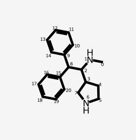 CNC(C1CCNC1)C(c1ccccc1)c1ccccc1